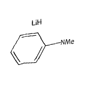 CNc1ccccc1.[LiH]